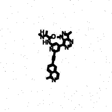 CNC(C)C(=O)Nc1cc(-c2ncnc3c(C)nn(C)c23)cc(C#Cc2ccc3c(C)nccc3c2)n1